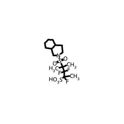 CC(F)(C(F)(F)C(C)(C)S(=O)(=O)N1CCC2CCCCC2C1)S(=O)(=O)O